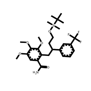 COc1cc(C(N)=O)c(CC(CCO[Si](C)(C)C(C)(C)C)c2cccc(C(F)(F)F)c2)c(OC)c1OC